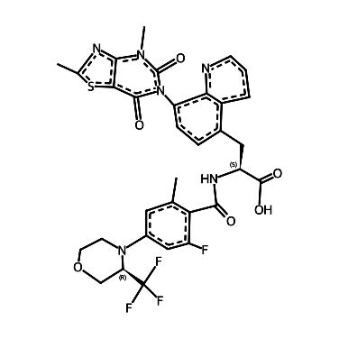 Cc1nc2c(s1)c(=O)n(-c1ccc(C[C@H](NC(=O)c3c(C)cc(N4CCOC[C@@H]4C(F)(F)F)cc3F)C(=O)O)c3cccnc13)c(=O)n2C